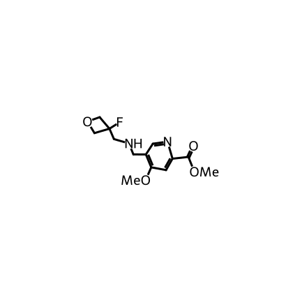 COC(=O)c1cc(OC)c(CNCC2(F)COC2)cn1